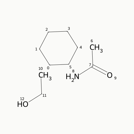 C1CCCCC1.CC(N)=O.CCO